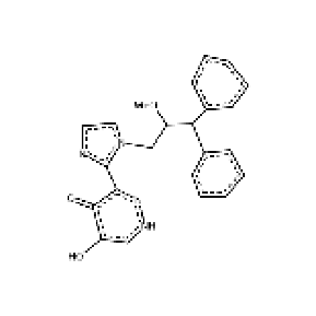 COC(Cn1ccnc1-c1n[nH]cc(O)c1=O)C(c1ccccc1)c1ccccc1